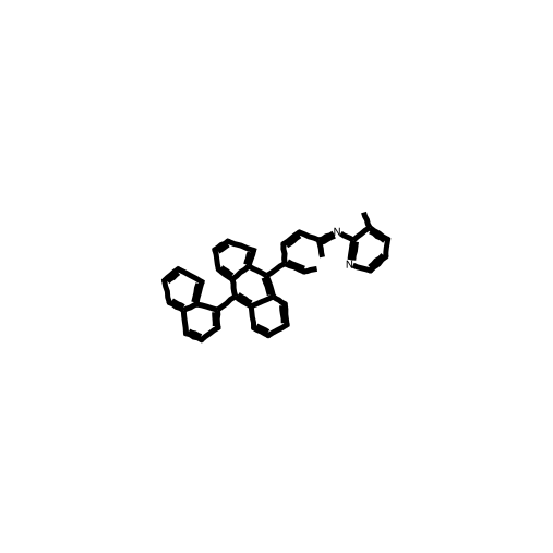 C\C=C(/C=C\C(C)=N\c1ncccc1C)c1c2ccccc2c(-c2cccc3ccccc23)c2ccccc12